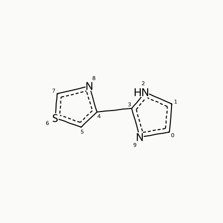 c1c[nH]c(-c2cscn2)n1